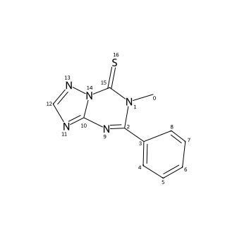 Cn1c(-c2ccccc2)nc2ncnn2c1=S